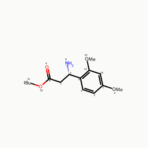 COc1ccc([C@@H](N)CC(=O)OC(C)(C)C)c(OC)c1